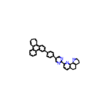 C1=Cc2c(c3ccc(-c4ccc(-c5cnc(-c6ccc7c(n6)C6=C(CCC=N6)CC7)nc5)cc4)cc3c3ccccc23)C=CC1